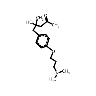 CC(=O)CC(C)(O)Cc1ccc(OCCCN(C)C)cc1